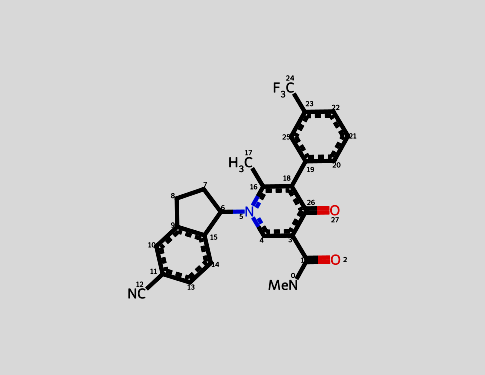 CNC(=O)c1cn(C2CCc3cc(C#N)ccc32)c(C)c(-c2cccc(C(F)(F)F)c2)c1=O